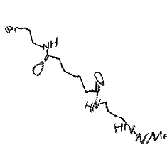 CNNCCCNC(=O)CCCCC(=O)NCCC(C)C